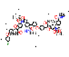 CCN(c1cc2oc(-c3ccc(Oc4cccc(-c5ccc(-c6cc7c(C(=O)NC)c(-c8ccc(Oc9ccc(F)cc9)cc8)oc7cc6N(CC)S(C)(=O)=O)cc5C(=O)NC(C)(C)C)c4)cc3)c(C(=O)NC)c2cc1-c1cccc(C(=O)NC(C)(C)C)c1)S(C)(=O)=O